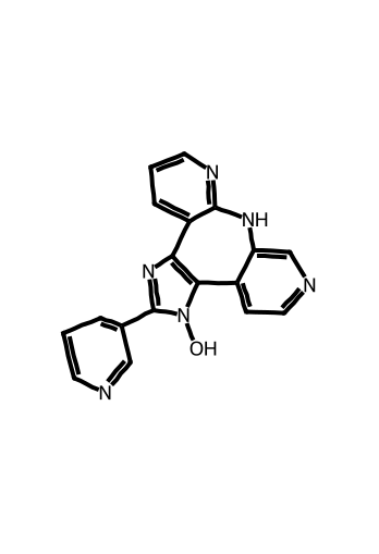 On1c(-c2cccnc2)nc2c1-c1ccncc1Nc1ncccc1-2